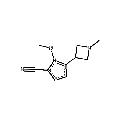 CNn1c(C#N)ccc1C1CN(C)C1